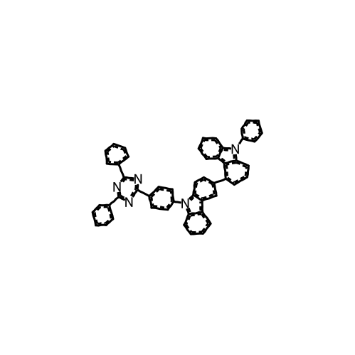 c1ccc(-c2nc(-c3ccccc3)nc(-c3ccc(-n4c5ccccc5c5cc(-c6cccc7c6c6ccccc6n7-c6ccccc6)ccc54)cc3)n2)cc1